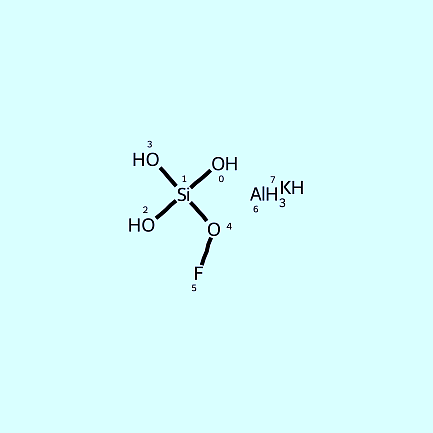 O[Si](O)(O)OF.[AlH3].[KH]